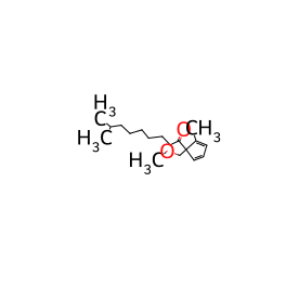 COCC1(C(=O)CCCCCCC(C)C)C=CC=C1C